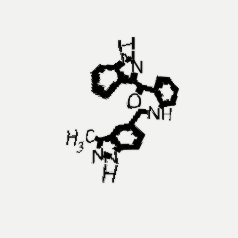 Cc1n[nH]c2ccc(CNc3ccccc3C(=O)c3n[nH]c4ccccc34)cc12